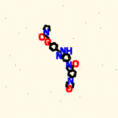 O=C(COc1ccc(-c2nc3cc(N4Cc5cc(N6CCOCC6)ccc5C4=O)ccc3[nH]2)cc1)N1CCCC1